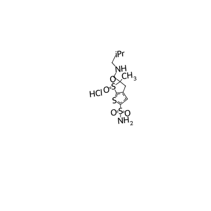 CC(C)CNCC1(C)Cc2cc(S(N)(=O)=O)sc2S1(=O)=O.Cl